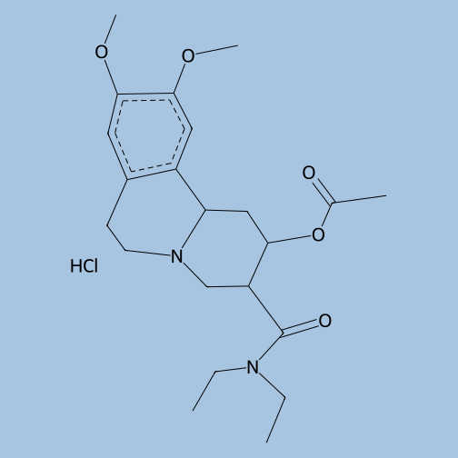 CCN(CC)C(=O)C1CN2CCc3cc(OC)c(OC)cc3C2CC1OC(C)=O.Cl